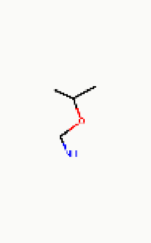 CC(C)OC[NH]